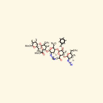 COC(=O)C1O[C@@H](O[C@@H]2C(COC(C)=O)O[C@H](O[C@@H]3C(C(=O)OC)O[C@@H](O[C@@H]4C(COC(C)=O)O[C@H](OC)C(C)[C@H]4C)C(OC(C)=O)[C@H]3C)C(N=[N+]=[N-])[C@H]2C)C(OCc2ccccc2)[C@@H](C)[C@@H]1O[C@H]1OC(COC(C)=O)[C@@H](C)[C@H](C)C1N=[N+]=[N-]